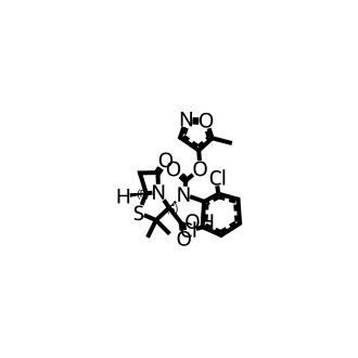 Cc1oncc1OC(=O)N(c1c(Cl)cccc1Cl)[C@@]1(C(=O)O)N2C(=O)C[C@H]2SC1(C)C